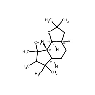 CC1C(C)(C)[C@@H]2[C@H]3OC(C)(C)C[C@H]3CC[C@H]2C1(C)C